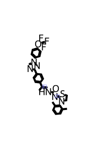 C/C(=C\NC(=O)/N=C1\SCCN1c1c(C)cccc1C)c1ccc(-c2ncn(-c3ccc(OC(F)(F)F)cc3)n2)cc1